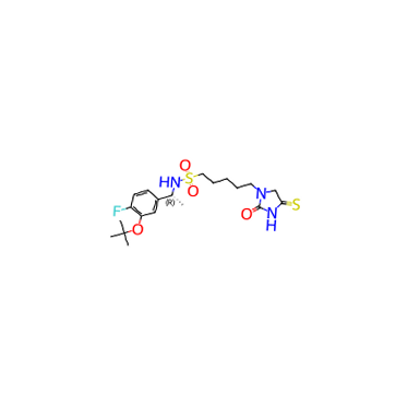 C[C@@H](NS(=O)(=O)CCCCCN1CC(=S)NC1=O)c1ccc(F)c(OC(C)(C)C)c1